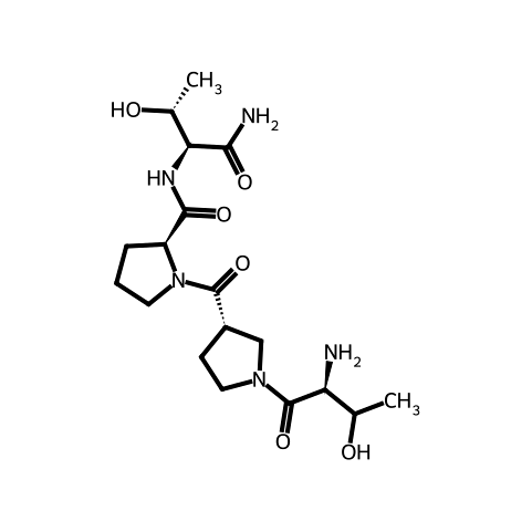 CC(O)[C@H](N)C(=O)N1CC[C@H](C(=O)N2CCC[C@H]2C(=O)N[C@H](C(N)=O)[C@@H](C)O)C1